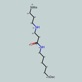 CCCCCCCCCCCCCCCNC(=O)CCNCCCNC